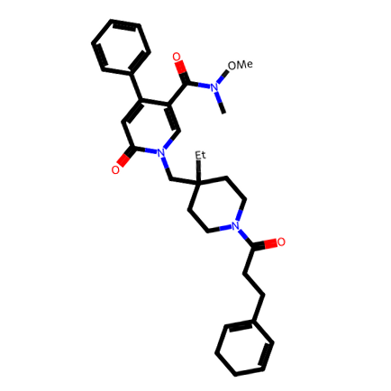 CCC1(Cn2cc(C(=O)N(C)OC)c(-c3ccccc3)cc2=O)CCN(C(=O)CCC2=CCCC=C2)CC1